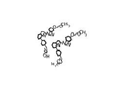 COCCOc1ccc2c(c1)ncn2-c1ccc2cccc(-c3ccc(CN4CC(O)C4)cc3)c2n1.COCCOc1ccc2c(c1)ncn2-c1ccc2cccc(-c3ccc(CN4CCN(C)CC4)cc3)c2n1